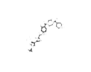 Cn1c(-c2cn(C3CC3(F)F)nc2C(F)(F)F)cnc1C(=O)Nc1ccc(C(=O)N2CCN(C(=O)C3CCNCC3)CC2)c(Cl)c1